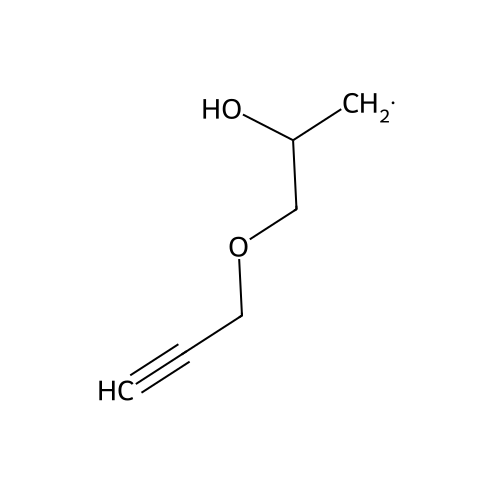 C#CCOCC([CH2])O